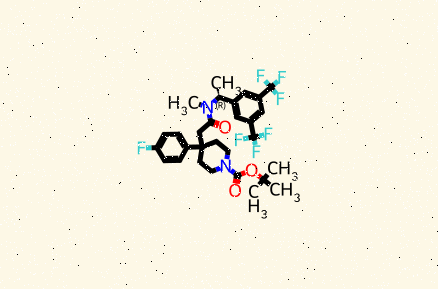 C[C@H](c1cc(C(F)(F)F)cc(C(F)(F)F)c1)N(C)C(=O)CC1(c2ccc(F)cc2)CCN(C(=O)OC(C)(C)C)CC1